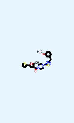 COc1cccc(Cc2nsc(N3CCN(C(=O)c4cc(-c5cccs5)oc4C)CC3)n2)c1